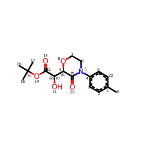 Cc1ccc(N2CCO[C@H]([C@@H](O)C(=O)OC(C)(C)C)C2=O)cc1